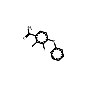 Cc1c(C(N)=O)ccc(Oc2ccccc2)c1F